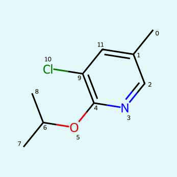 Cc1cnc(OC(C)C)c(Cl)c1